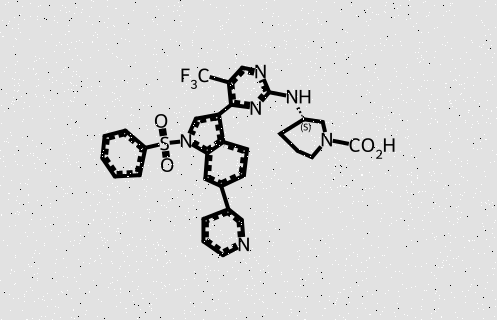 O=C(O)N1CCC[C@H](Nc2ncc(C(F)(F)F)c(-c3cn(S(=O)(=O)c4ccccc4)c4cc(-c5cccnc5)ccc34)n2)C1